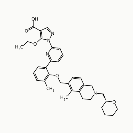 CCOc1c(C(=O)O)cnn1-c1cccc(-c2cccc(C)c2OCc2ccc3c(c2C)CCN(C[C@@H]2CCCCO2)C3)n1